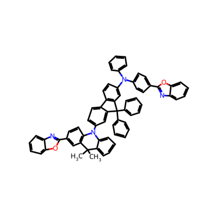 CC1(C)c2ccccc2N(c2ccc3c(c2)C(c2ccccc2)(c2ccccc2)c2cc(N(c4ccccc4)c4ccc(-c5nc6ccccc6o5)cc4)ccc2-3)c2ccc(-c3nc4ccccc4o3)cc21